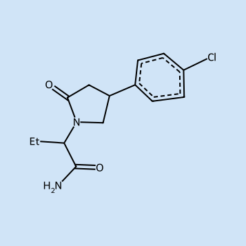 CCC(C(N)=O)N1CC(c2ccc(Cl)cc2)CC1=O